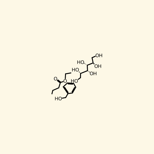 CCCC(=O)OCC.OC[C@@H](O)[C@@H](O)[C@H](O)[C@@H](O)CO.OCc1ccccc1